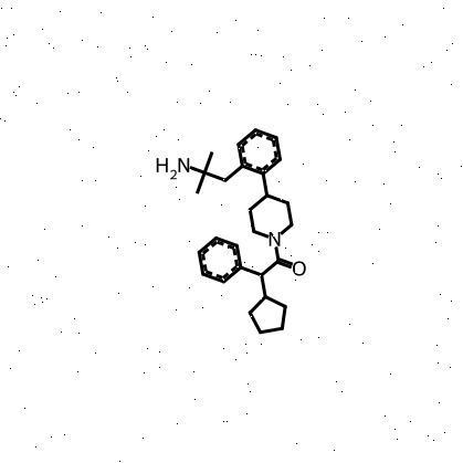 CC(C)(N)Cc1ccccc1C1CCN(C(=O)C(c2ccccc2)C2CCCC2)CC1